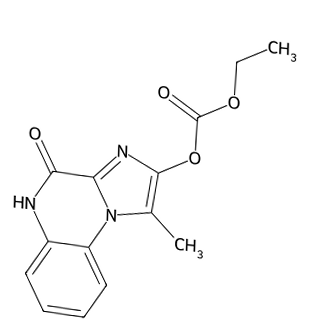 CCOC(=O)Oc1nc2c(=O)[nH]c3ccccc3n2c1C